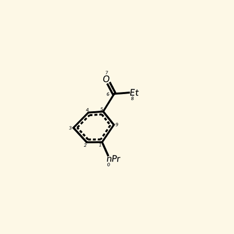 CCCc1cccc(C(=O)CC)c1